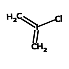 C=I(=C)Cl